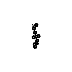 CC1(C)c2ccc(-c3c4ccccc4c(-c4ccc(-c5ccc6oc7ccccc7c6c5)cc4)c4ccccc34)cc2-c2ccc3ccccc3c21